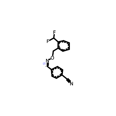 N#Cc1ccc(/[C]=N\OCc2ccccc2C(F)F)cc1